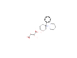 O=C(O)C(O)C(O)C(=O)O.c1ccc(C2(N3CCCCC3)CCCCC2)cc1